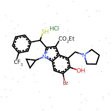 CCOC(=O)c1c(C(S)c2cccc(C(F)(F)F)c2)n(C2CC2)c2cc(Br)c(O)c(CN3CCCC3)c12.Cl